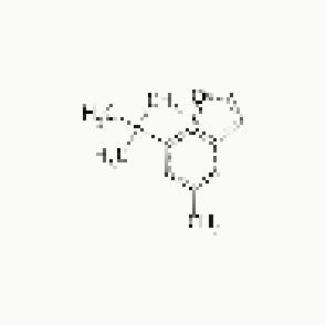 Cc1cc(C(C)(C)C)c2occc2c1